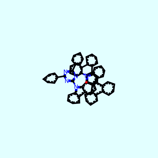 c1ccc(-c2nc(-c3ccccc3)nc(-n3c4ccccc4c4ccc5c6ccccc6n(-c6ccccc6-c6ccccc6-c6ccc7c8ccccc8c8ccccc8c7c6)c5c43)n2)cc1